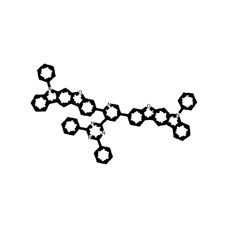 c1ccc(-c2nc(-c3ccccc3)nc(-c3cc(-c4ccc5c(c4)oc4cc6c(cc45)c4ccccc4n6-c4ccccc4)cnc3-c3ccc4c(c3)oc3cc5c(cc34)c3ccccc3n5-c3ccccc3)n2)cc1